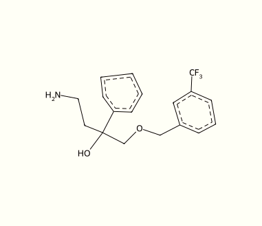 NCCC(O)(COCc1cccc(C(F)(F)F)c1)c1ccccc1